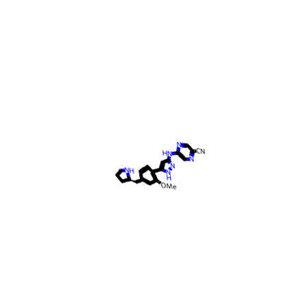 COc1cc(C[C@H]2CCCN2)ccc1-c1cc(Nc2cnc(C#N)cn2)n[nH]1